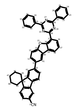 N#Cc1ccc2c(c1)-c1ccc(-c3ccc4oc5c(-c6nc(-c7ccccc7)nc(-c7ccccc7)n6)cccc5c4c3)cc1C21CCCCC1